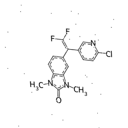 Cn1c(=O)n(C)c2cc(C(=C(F)F)c3ccc(Cl)nc3)ccc21